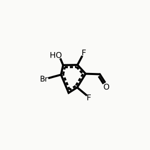 O=Cc1c(F)cc(Br)c(O)c1F